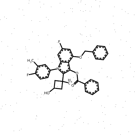 Cc1cc(-n2c(C3(C)CC(O)C3)c(OC(=O)c3ccccc3)c3c(OCc4ccccc4)cc(F)cc32)ccc1F